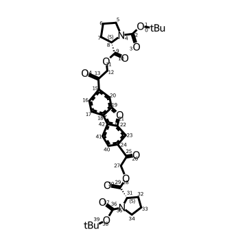 CC(C)(C)OC(=O)N1CCC[C@H]1C(=O)OCC(=O)c1ccc2c(c1)oc1cc(C(=O)COC(=O)[C@@H]3CCCN3C(=O)OC(C)(C)C)ccc12